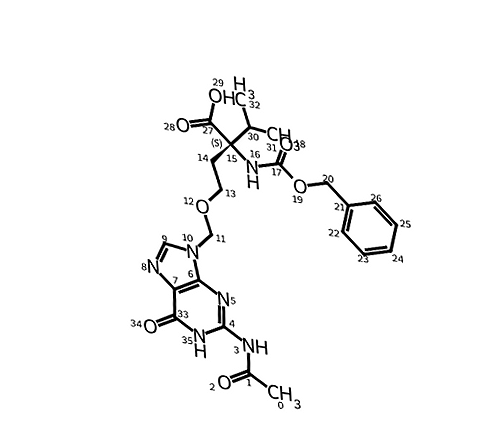 CC(=O)Nc1nc2c(ncn2COCC[C@@](NC(=O)OCc2ccccc2)(C(=O)O)C(C)C)c(=O)[nH]1